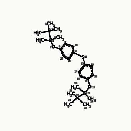 CC(C)(C)[Si](C)(C)Oc1ccc(Sc2ccc(O[Si](C)(C)C(C)(C)C)cc2)cc1